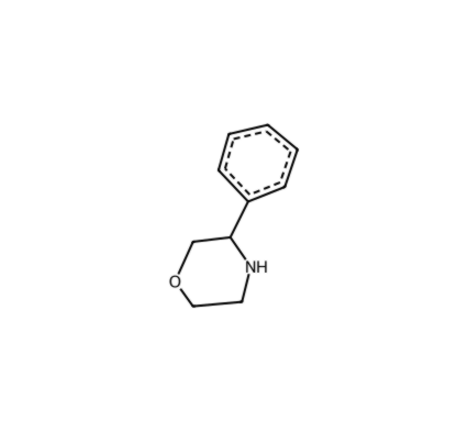 c1ccc(C2COCCN2)cc1